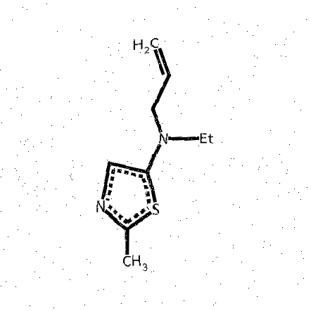 C=CCN(CC)c1cnc(C)s1